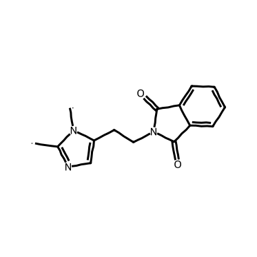 [CH2]c1ncc(CCN2C(=O)c3ccccc3C2=O)n1[CH2]